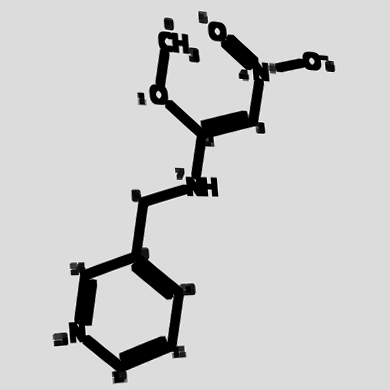 COC(=C[N+](=O)[O-])NCc1cccnc1